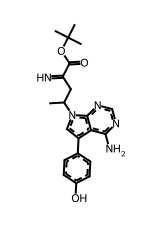 CC(CC(=N)C(=O)OC(C)(C)C)n1cc(-c2ccc(O)cc2)c2c(N)ncnc21